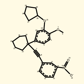 COc1ccc(C2(C#Cc3cccc([N+](=O)[O-])c3)CCCCC2)cc1OC1CCCC1